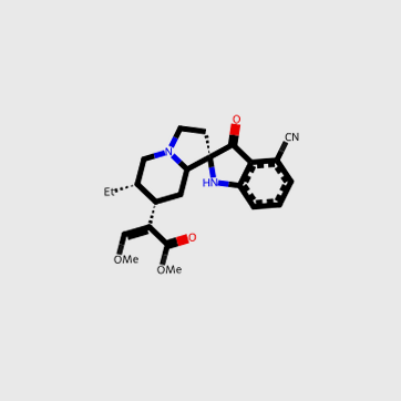 CC[C@@H]1CN2CC[C@]3(Nc4cccc(C#N)c4C3=O)C2C[C@@H]1/C(=C/OC)C(=O)OC